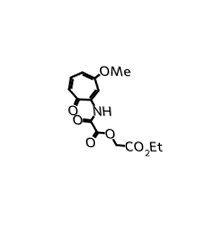 CCOC(=O)COC(=O)C(=O)Nc1cc(OC)cccc1=O